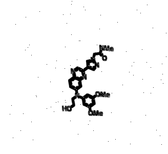 CNC(=O)Cn1cc(-c2cnc3ccc(N(CCO)c4cc(OC)cc(OC)c4)cc3n2)cn1